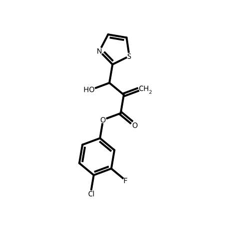 C=C(C(=O)Oc1ccc(Cl)c(F)c1)C(O)c1nccs1